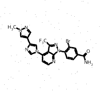 Cn1cc(-c2cn(-c3ccnc4c3c(C(F)(F)F)nn4-c3ccc(C(N)=O)cc3Br)cn2)cn1